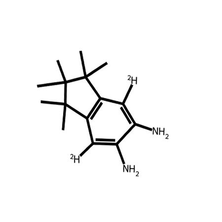 [2H]c1c(N)c(N)c([2H])c2c1C(C)(C)C(C)(C)C2(C)C